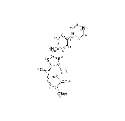 COc1ccc(C(=O)c2sc(Nc3ccc(N4CCNCC4)cc3)nc2N)cc1F